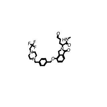 CNC(=O)C(CCC=O)N1Cc2c(OCc3ccc(CN4CCN(CC(F)(F)F)CC4)cc3)cccc2C1=O